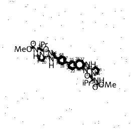 COC(=O)N[C@H](C(=O)N1CCC[C@H]1c1ncc(-c2ccc(-c3ccc4c(c3)CCc3[nH]c([C@@H]5CCCN5C(=O)[C@@H](NC(=O)OC)C(C)C)nc3C4)cc2)[nH]1)C(C)C